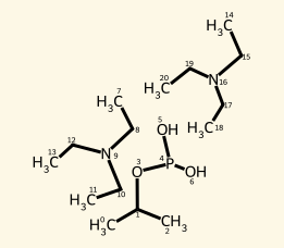 CC(C)OP(O)O.CCN(CC)CC.CCN(CC)CC